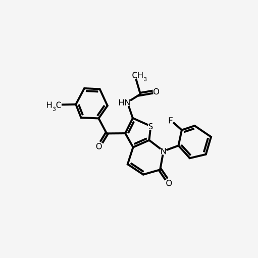 CC(=O)Nc1sc2c(ccc(=O)n2-c2ccccc2F)c1C(=O)c1cccc(C)c1